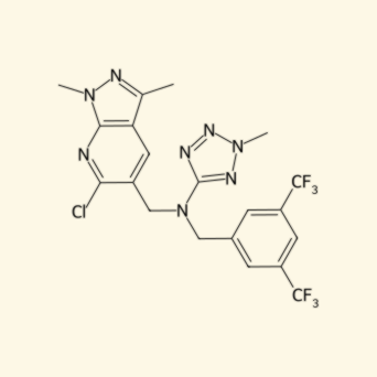 Cc1nn(C)c2nc(Cl)c(CN(Cc3cc(C(F)(F)F)cc(C(F)(F)F)c3)c3nnn(C)n3)cc12